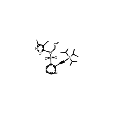 COCN(c1onc(C)c1C)S(=O)(=O)c1cccnc1C#C[Si](C(C)C)(C(C)C)C(C)C